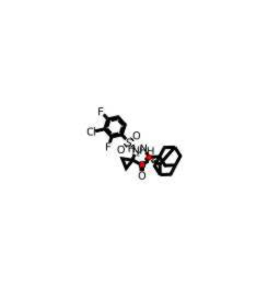 NC(=O)C12CC3CC(C1)C(NC(=O)C1(NS(=O)(=O)c4ccc(F)c(Cl)c4F)CC1)C(C3)C2